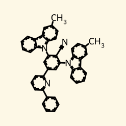 Cc1ccc2c(c1)c1ccccc1n2-c1cc(-c2cccc(-c3ccccc3)n2)cc(-n2c3ccccc3c3cc(C)ccc32)c1C#N